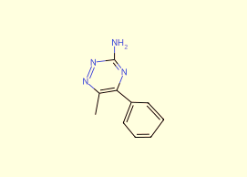 Cc1nnc(N)nc1-c1ccccc1